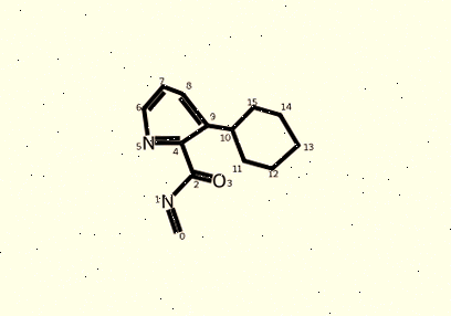 C=NC(=O)c1ncccc1C1CCCCC1